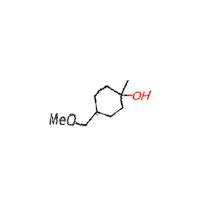 COC[C]1CCC(C)(O)CC1